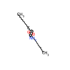 CCCCCCCCCCCCCCCCCCc1cccc2c1C(=O)c1ccc(N)c(CCCCCCCCCCCCCCCCCC)c1C2=O